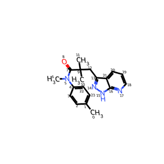 Cc1ccc(N(C)C(=O)C(C)(C)Cc2n[nH]c3ncccc23)cc1